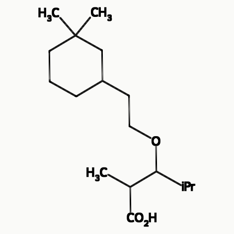 CC(C)C(OCCC1CCCC(C)(C)C1)C(C)C(=O)O